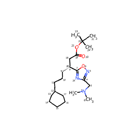 CN(C)Cc1noc([C@H](CCCC2CCCCC2)CC(=O)OC(C)(C)C)n1